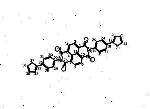 O=C1c2ccc3c4c(ccc(c24)C(=O)N1c1ccc(C2=CC=CC2)cc1)C(=O)N(c1ccc(C2=CC=CC2)cc1)C3=O